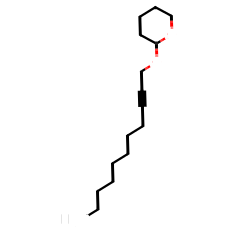 CCCCCCCCC#CCOC1CCCCO1